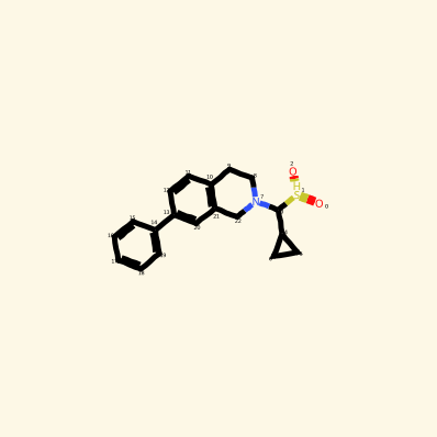 O=[SH](=O)C(C1CC1)N1CCc2ccc(-c3[c]cccc3)cc2C1